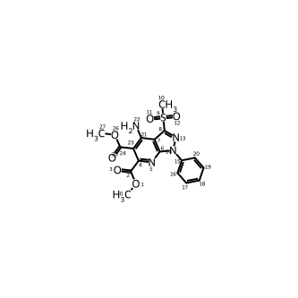 COC(=O)c1nc2c(c(S(C)(=O)=O)nn2-c2ccccc2)c(N)c1C(=O)OC